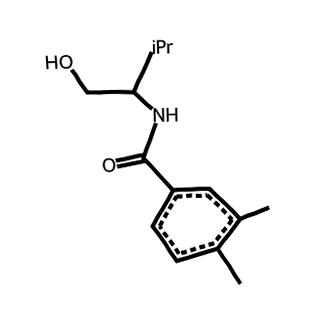 Cc1ccc(C(=O)NC(CO)C(C)C)cc1C